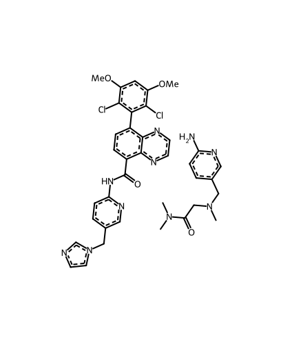 CN(CC(=O)N(C)C)Cc1ccc(N)nc1.COc1cc(OC)c(Cl)c(-c2ccc(C(=O)Nc3ccc(Cn4ccnc4)cn3)c3nccnc23)c1Cl